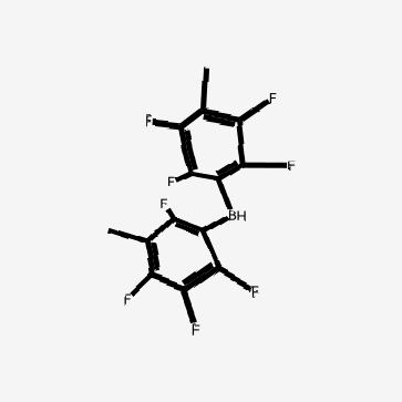 Cc1c(F)c(F)c(Bc2c(F)c(C)c(F)c(F)c2F)c(F)c1F